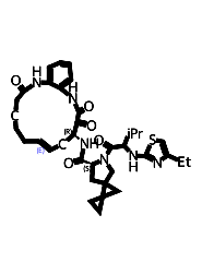 CCc1csc(NC(C(=O)N2CC3(C[C@H]2C(=O)N[C@@H]2C/C=C/CCCCC(=O)Nc4ccccc4NC(=O)C2=O)CC32CC2)C(C)C)n1